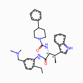 CCc1ccc(CN(C)C)cc1NC(=O)[C@H](NC(=O)N1CCC(c2ccccc2)CC1)[C@H](C)c1c[nH]c2ccccc12